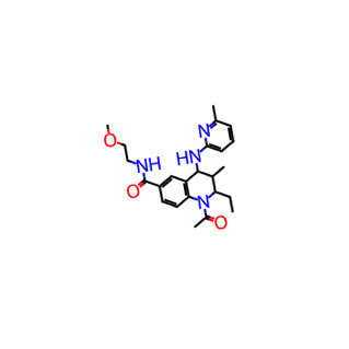 CCC1C(C)C(Nc2cccc(C)n2)c2cc(C(=O)NCCOC)ccc2N1C(C)=O